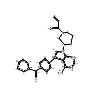 C=CC(=O)N1CCC[C@@H](n2nc(-c3ccc(C(=O)c4ccccc4)cc3)c3c(N)ncnc32)C1